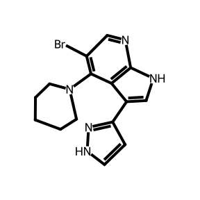 Brc1cnc2[nH]cc(-c3cc[nH]n3)c2c1N1CCCCC1